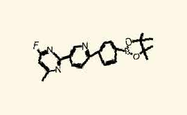 Cc1cc(F)nc(-c2ccc(-c3ccc(B4OC(C)(C)C(C)(C)O4)cc3)nc2)n1